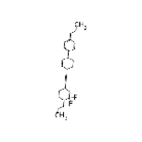 CCCc1ccc(C2CCC(C#CC3CCC(CCC)C(F)(F)C3)CC2)cc1